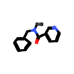 O=CN(Cc1ccccc1)C(=O)c1cccnc1